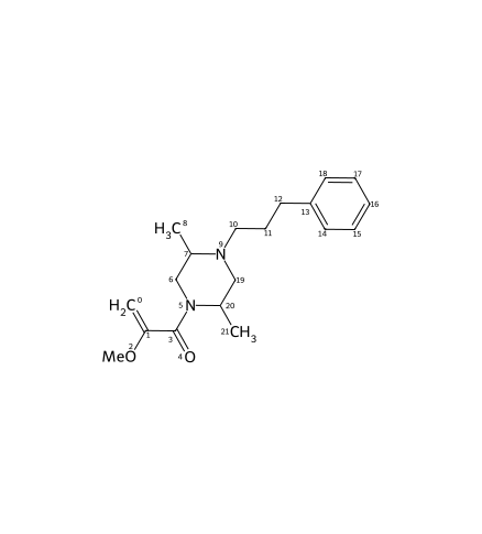 C=C(OC)C(=O)N1CC(C)N(CCCc2ccccc2)CC1C